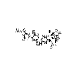 COc1cc(-c2cc(O)c(-c3cnc(N(C4CC4)C4C[C@H]5CC[C@H](N5)C4F)cn3)cc2F)ccn1